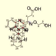 O=C(O)CC/C(=N\OCCO)c1nc2ccccc2n(C2C[C@H]3CCC[C@@H](C2)N3C2C[C@H]3CCC[C@@H](C2)C3)c1=O